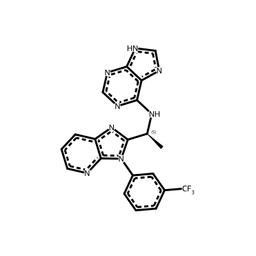 C[C@H](Nc1ncnc2[nH]cnc12)c1nc2cccnc2n1-c1cccc(C(F)(F)F)c1